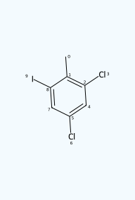 Cc1c(Cl)cc(Cl)cc1I